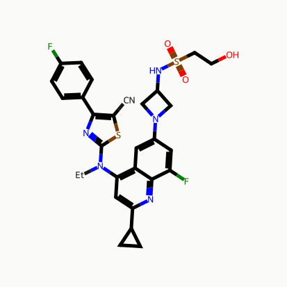 CCN(c1nc(-c2ccc(F)cc2)c(C#N)s1)c1cc(C2CC2)nc2c(F)cc(N3CC(NS(=O)(=O)CCO)C3)cc12